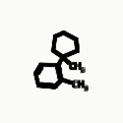 Cc1[c]cccc1C1(C)CCCCC1